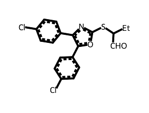 CCC(C=O)Sc1nc(-c2ccc(Cl)cc2)c(-c2ccc(Cl)cc2)o1